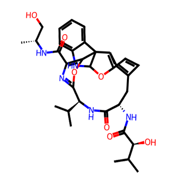 CC(C)[C@H](O)C(=O)N[C@H]1Cc2ccc3c(c2)C2(c4ccccc4NC2O3)c2oc(nc2C(=O)N[C@H](C)CO)[C@H](C(C)C)NC1=O